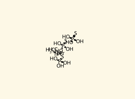 CCCC.CCCC.OP(O)(O)=S.OP(O)(O)=S.OP(O)(O)=S